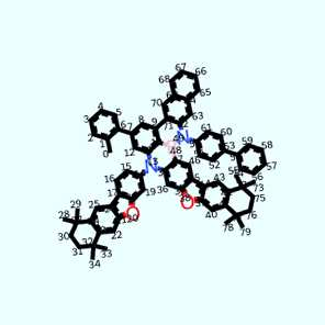 Cc1ccccc1-c1cc2c3c(c1)N(c1ccc4c(c1)oc1cc5c(cc14)C(C)(C)CCC5(C)C)c1cc4oc5cc6c(cc5c4cc1B3N(c1ccc(-c3ccccc3)cc1)c1cc3ccccc3cc1-2)C(C)(C)CCC6(C)C